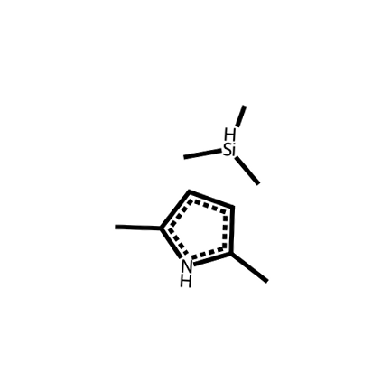 C[SiH](C)C.Cc1ccc(C)[nH]1